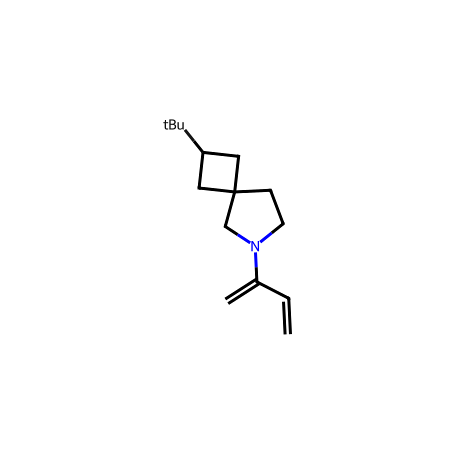 C=CC(=C)N1CCC2(CC(C(C)(C)C)C2)C1